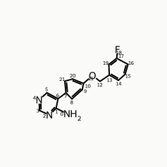 Nc1ncncc1-c1ccc(OCc2cccc(F)c2)cc1